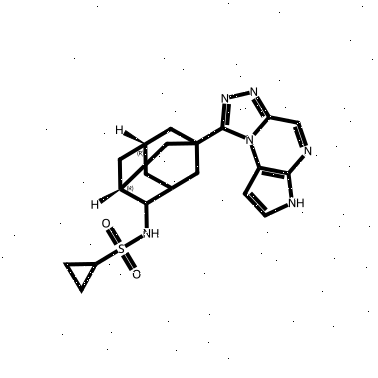 O=S(=O)(NC1C2C[C@@H]3C[C@@H]1CC(c1nnc4cnc5[nH]ccc5n14)(C2)C3)C1CC1